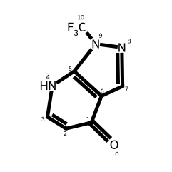 O=c1cc[nH]c2c1cnn2C(F)(F)F